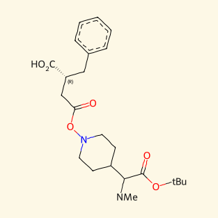 CNC(C(=O)OC(C)(C)C)C1CCN(OC(=O)C[C@@H](Cc2ccccc2)C(=O)O)CC1